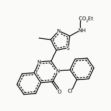 CCOC(=O)Nc1nc(C)c(-c2nc3ccccc3c(=O)n2-c2ccccc2Cl)s1